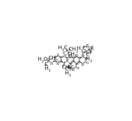 Cc1c2c(c(CC(C)(C)C)c3ccc(CC(C)(C)C)cc13)Oc1cc3c(CC(C)(C)C(F)(F)F)cccc3c3cc[n+](C)c-2c13